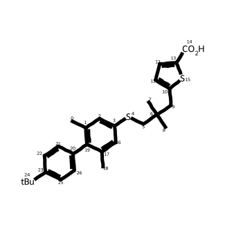 Cc1cc(SCC(C)(C)Cc2ccc(C(=O)O)s2)cc(C)c1-c1ccc(C(C)(C)C)cc1